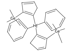 [CH3][Ge]([CH3])([CH3])[C]1=[C]([Hf]([C]2=[C]([Ge]([CH3])([CH3])[CH3])C=CC2)([c]2ccccc2)[c]2ccccc2)CC=C1